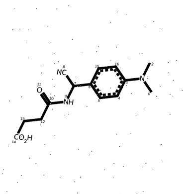 CN(C)c1ccc(C(C#N)NC(=O)CCC(=O)O)cc1